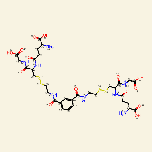 NC(CCC(=O)NC(CSSCCNC(=O)c1cccc(C(=O)NCCSSCC(NC(=O)CCC(N)C(=O)O)C(=O)NCC(=O)O)c1)C(=O)NCC(=O)O)C(=O)O